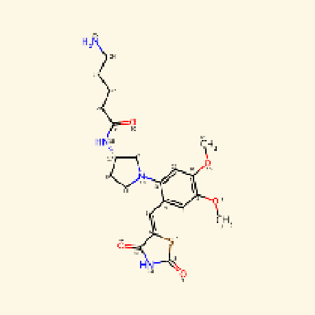 COc1cc(/C=C2\SC(=O)NC2=O)c(N2CC[C@H](NC(=O)CCCCN)C2)cc1OC